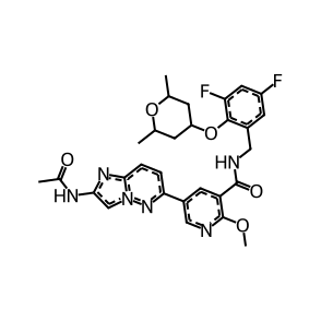 COc1ncc(-c2ccc3nc(NC(C)=O)cn3n2)cc1C(=O)NCc1cc(F)cc(F)c1OC1CC(C)OC(C)C1